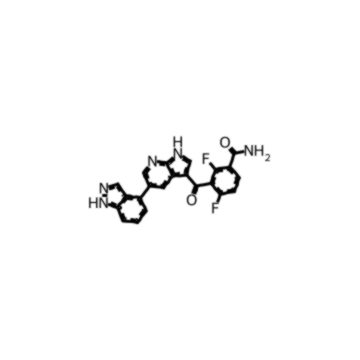 NC(=O)c1ccc(F)c(C(=O)c2c[nH]c3ncc(-c4cccc5[nH]ncc45)cc23)c1F